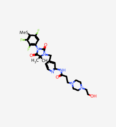 CSc1c(F)cc(N2C(=O)N(Cc3ccnc(NC(=O)CCN4CCN(CCO)CC4)c3)C(C)(C)C2=O)c(F)c1F